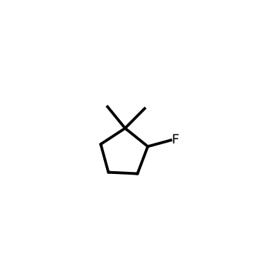 CC1(C)CCCC1F